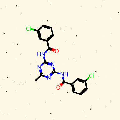 Cc1nc(NC(=O)c2cccc(Cl)c2)nc(NC(=O)c2cccc(Cl)c2)n1